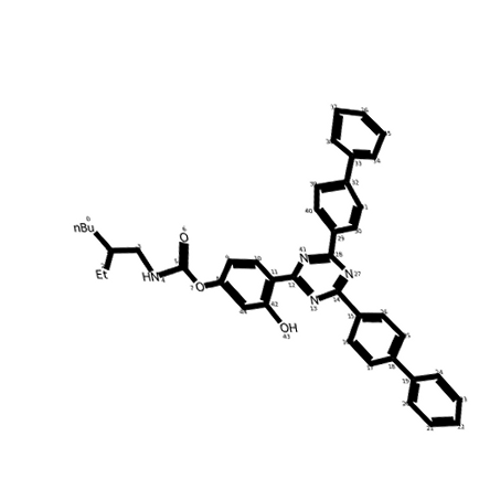 CCCCC(CC)CNC(=O)Oc1ccc(-c2nc(-c3ccc(-c4ccccc4)cc3)nc(-c3ccc(-c4ccccc4)cc3)n2)c(O)c1